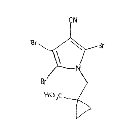 N#Cc1c(Br)c(Br)n(CC2(C(=O)O)CC2)c1Br